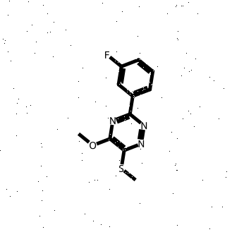 COc1nc(-c2cccc(F)c2)nnc1SC